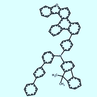 CC1(C)c2ccccc2-c2ccc(N(c3ccc(-c4cccc5c6ccc7oc8ccccc8c7c6c6ccccc6c45)cc3)c3cccc(-c4ccc(-c5ccccc5)cc4)c3)cc21